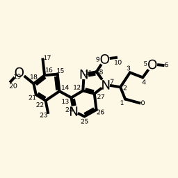 CCC(CCOC)n1c(OC)nc2c(-c3cc(C)c(OC)cc3C)nccc21